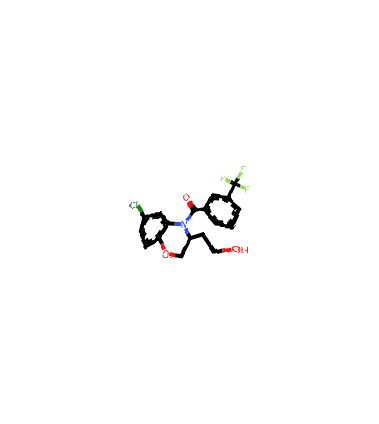 O=C(c1cccc(C(F)(F)F)c1)N1c2cc(Cl)ccc2OCC1CCO